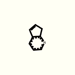 C1=Cc2cccnc2C1